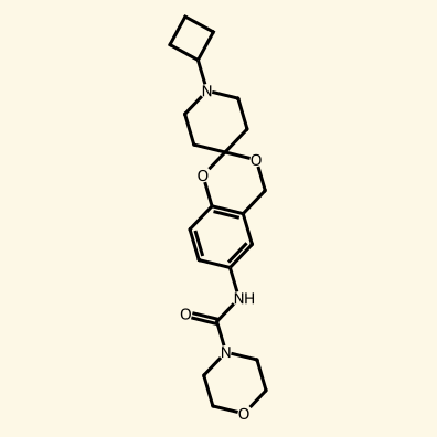 O=C(Nc1ccc2c(c1)COC1(CCN(C3CCC3)CC1)O2)N1CCOCC1